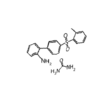 Cc1ccccc1S(=O)(=O)c1ccc(-c2ccccc2N)cc1.NC(N)=O